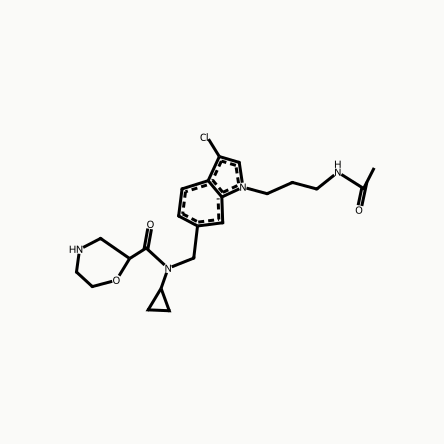 CC(=O)NCCCn1cc(Cl)c2ccc(CN(C(=O)C3CNCCO3)C3CC3)cc21